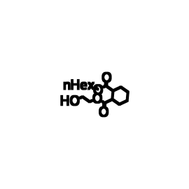 CCCCCCOC(=O)C1CCCCC1C(=O)OCCO